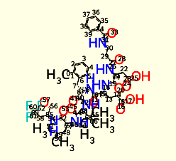 Cc1ccccc1C[C@H](NC(=O)[C@H](CCC(=O)O)NC(=O)[C@H](CC(=O)O)NC(=O)CCNC(=O)c1ccccc1)C(=O)N[C@H](C(=O)N[C@@H](CC(C)C)C(=O)NC(C=O)CC(F)(F)F)C(C)(C)C